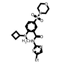 CCc1cnc(NC(=O)c2cc(S(=O)(=O)N3CCOCC3)ccc2N(C)C2CCC2)s1